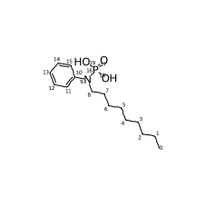 CCCCCCCCCN(c1ccccc1)P(=O)(O)O